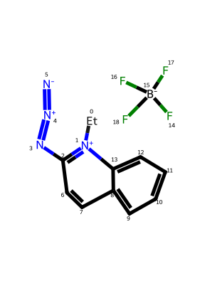 CC[n+]1c(N=[N+]=[N-])ccc2ccccc21.F[B-](F)(F)F